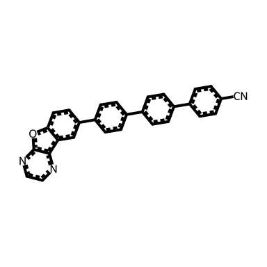 N#Cc1ccc(-c2ccc(-c3ccc(-c4ccc5oc6nccnc6c5c4)cc3)cc2)cc1